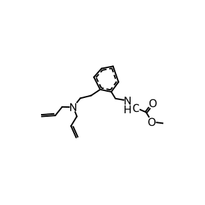 C=CCN(CC=C)CCc1ccccc1CNCC(=O)OC